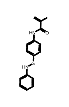 C=C(C)C(=O)Nc1ccc(SNc2ccccc2)cc1